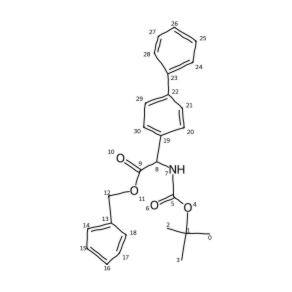 CC(C)(C)OC(=O)NC(C(=O)OCc1ccccc1)c1ccc(-c2ccccc2)cc1